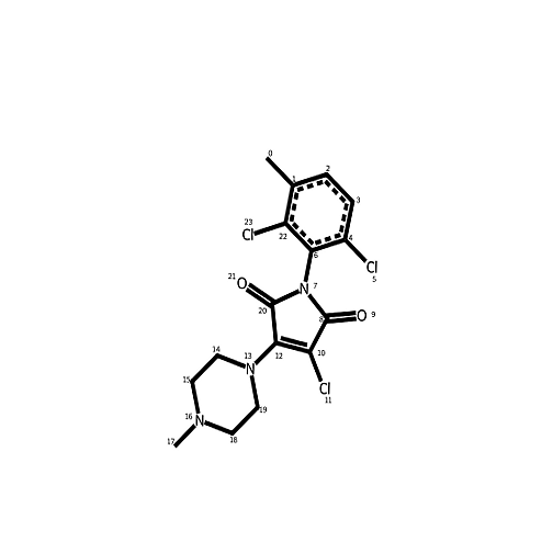 Cc1ccc(Cl)c(N2C(=O)C(Cl)=C(N3CCN(C)CC3)C2=O)c1Cl